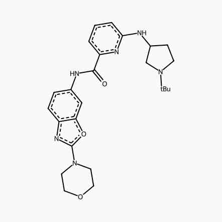 CC(C)(C)N1CCC(Nc2cccc(C(=O)Nc3ccc4nc(N5CCOCC5)oc4c3)n2)C1